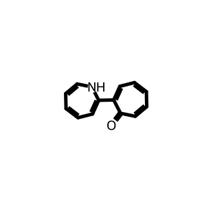 O=c1cccccc1C1=CC=CC=CN1